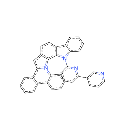 c1cncc(-c2cccc(-n3c4ccccc4c4ccc5cc6c7ccccc7c7ccccc7n6c5c43)n2)c1